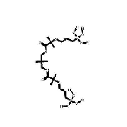 CCO[Si](CCCSC(C)(C)C(=O)OCC(C)(C)COC(=O)C(C)(C)SCCC[Si](OCC)(OCC)OCC)(OCC)OCC